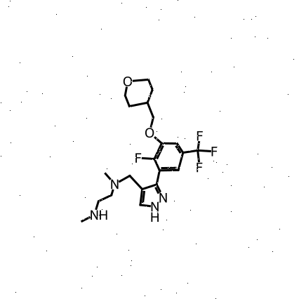 CNCCN(C)Cc1c[nH]nc1-c1cc(C(F)(F)F)cc(OCC2CCOCC2)c1F